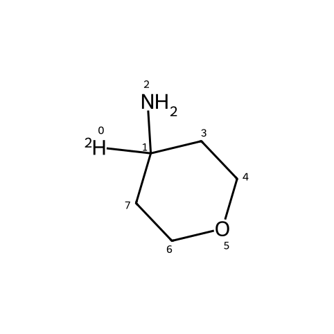 [2H]C1(N)CCOCC1